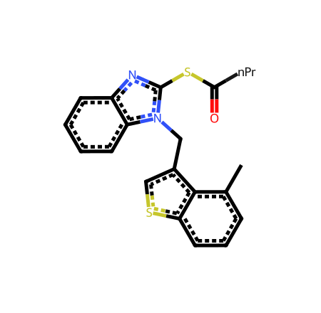 CCCC(=O)Sc1nc2ccccc2n1Cc1csc2cccc(C)c12